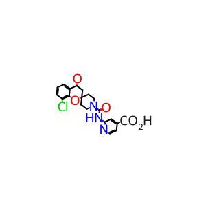 O=C(O)c1ccnc(NC(=O)N2CCC3(CC2)CC(=O)c2cccc(Cl)c2O3)c1